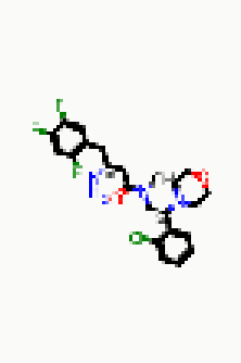 CN(C[C@H](c1ccccc1Cl)N1CCOCC1)C(=O)C[C@H](N)Cc1cc(F)c(F)cc1F